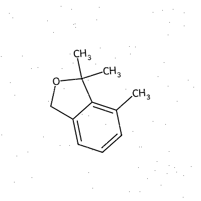 Cc1cccc2c1C(C)(C)OC2